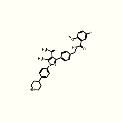 COc1ccc(F)cc1C(=O)NCc1ccc(-c2nn(-c3ccc(C4CCNCC4)cc3)c(N)c2C(N)=O)cc1